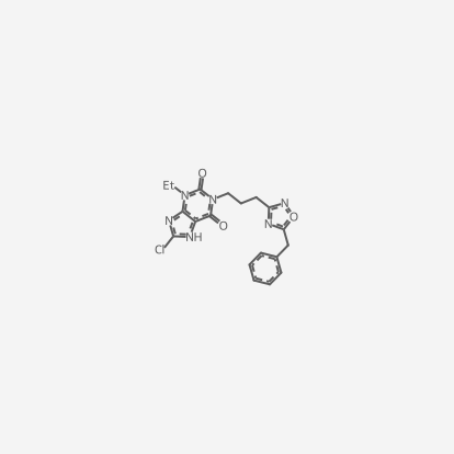 CCn1c(=O)n(CCCc2noc(Cc3ccccc3)n2)c(=O)c2[nH]c(Cl)nc21